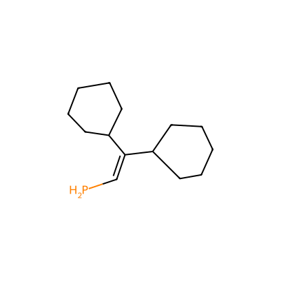 PC=C(C1CCCCC1)C1CCCCC1